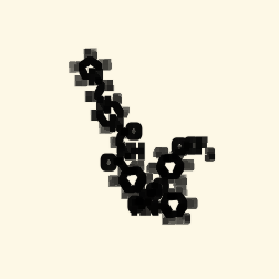 O=C(NCC(=O)N1CCN(CCN2CCCC2)CC1)c1ccc(S(=O)(=O)Nc2ccccc2Oc2ccc(OC(F)(F)F)cc2)cc1